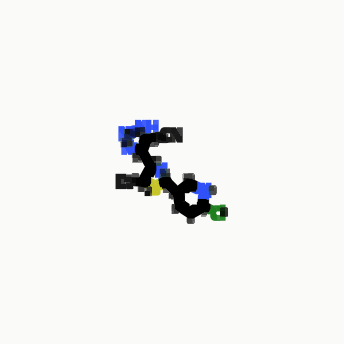 CCc1sc(-c2ccc(Cl)nc2)nc1-c1nn[nH]c1C#N